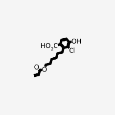 C=CC(=O)OCCCCCCc1c(C(=O)O)ccc(O)c1Cl